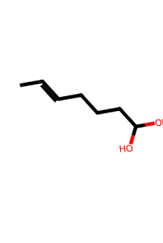 CC=CCCCC(O)O